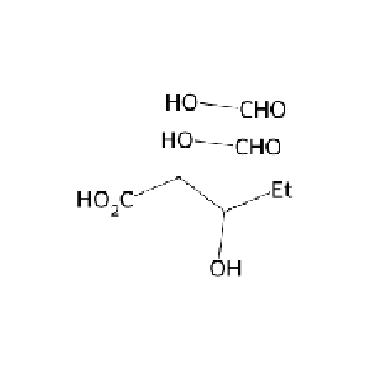 CCC(O)CC(=O)O.O=CO.O=CO